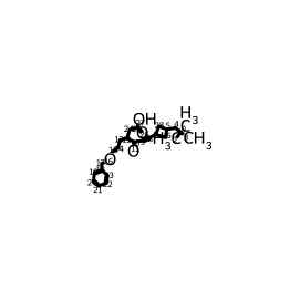 CC(C)(C)CC1CC(C#CC(=O)C(CCCOCc2ccccc2)CC(=O)O)C1